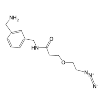 [N-]=[N+]=NCCOCCC(=O)NCc1cccc(CN)c1